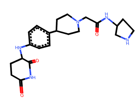 O=C1CCC(Nc2ccc(C3CCN(CC(=O)NC4CCNC4)CC3)cc2)C(=O)N1